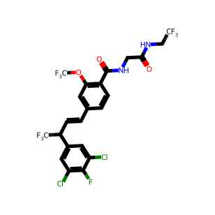 O=C(CNC(=O)c1ccc(C=CC(c2cc(Cl)c(F)c(Cl)c2)C(F)(F)F)cc1OC(F)(F)F)NCC(F)(F)F